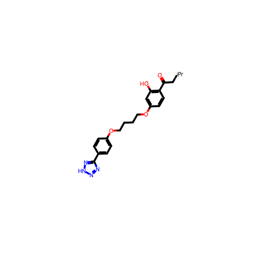 CC(C)CC(=O)c1ccc(OCCCCOc2ccc(-c3nn[nH]n3)cc2)cc1O